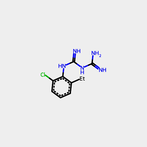 CCc1cccc(Cl)c1NC(=N)NC(=N)N